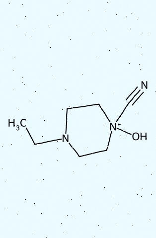 CCN1CC[N+](O)(C#N)CC1